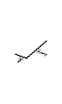 CCCCCCCCCCC(CCCCCCC/C=C\CC(CCCCCC)OC(=O)CCC)OC(=O)OCCCN(C)C